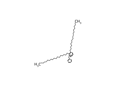 CCCCCCCCCCCCCCCCCCc1ccc[n+](Cc2ccccc2)c1CCCCCCCCCCCCCCCCCC